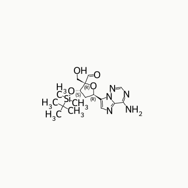 CC(C)(C)[Si](C)(C)O[C@H]1C[C@H](c2cnc3c(N)ncnn23)O[C@]1(C=O)CO